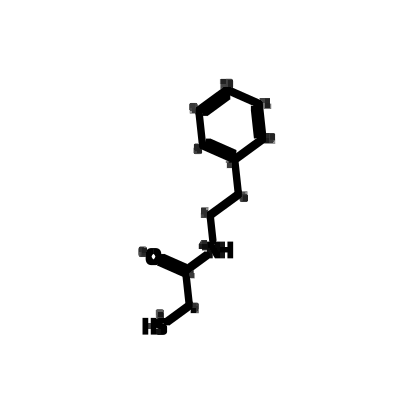 O=C(CS)NCCc1ccccc1